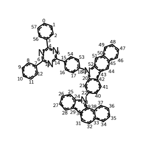 c1ccc(-c2nc(-c3ccccc3)nc(-c3ccc(-n4c5cc(-n6c7ccccc7c7ccc8ccccc8c76)ccc5c5cc6ccccc6cc54)cc3)n2)cc1